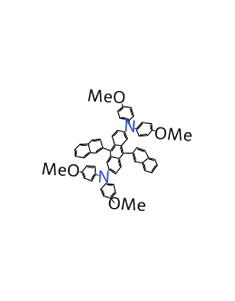 COc1ccc(N(c2ccc(OC)cc2)c2ccc3c(-c4ccc5ccccc5c4)c4cc(N(c5ccc(OC)cc5)c5ccc(OC)cc5)ccc4c(-c4ccc5ccccc5c4)c3c2)cc1